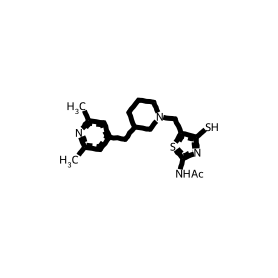 CC(=O)Nc1nc(S)c(CN2CCCC(Cc3cc(C)nc(C)c3)C2)s1